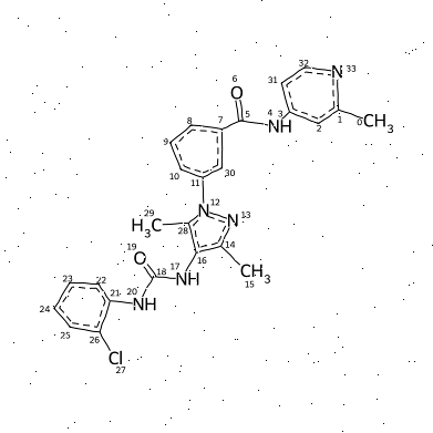 Cc1cc(NC(=O)c2cccc(-n3nc(C)c(NC(=O)Nc4ccccc4Cl)c3C)c2)ccn1